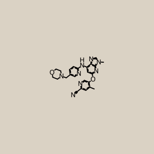 Cc1cc(C#N)ncc1Oc1cc(Nc2ccc(CN3CCOCC3)cn2)c2ncn(C)c2n1